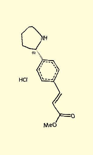 COC(=O)C=Cc1ccc([C@@H]2CCCN2)cc1.Cl